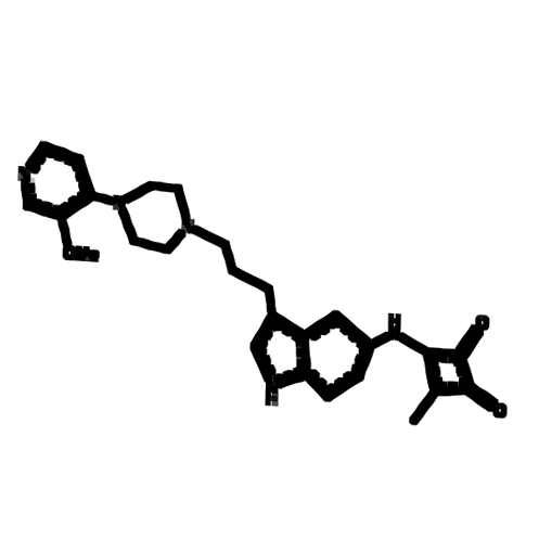 COc1cnccc1N1CCN(CCCc2c[nH]c3ccc(Nc4c(C)c(=O)c4=O)cc23)CC1